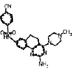 CN1CCN(c2nc(N)nc3c2CCc2cc(NS(=O)(=O)c4ccc(C#N)cc4)ccc2-3)CC1